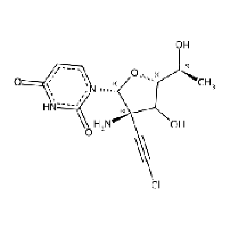 C[C@H](O)[C@H]1O[C@@H](n2ccc(=O)[nH]c2=O)[C@@](N)(C#CCl)C1O